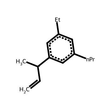 C=C[C](C)c1cc(CC)cc(CCC)c1